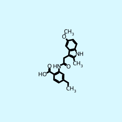 CCc1ccc(C(=O)O)c(NC(=O)Cc2c(C)[nH]c3ccc(OC)cc23)c1